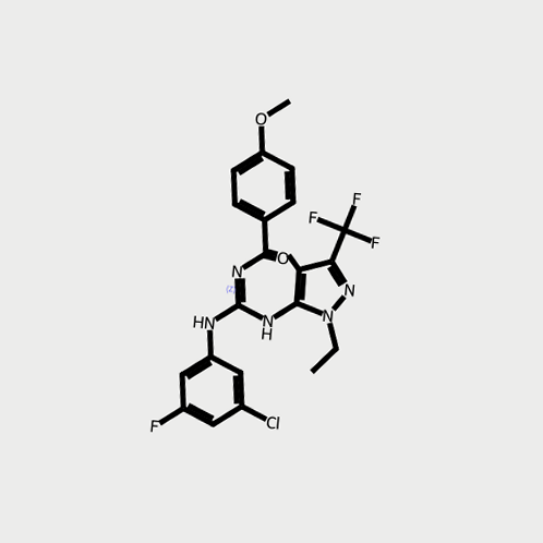 CCn1nc(C(F)(F)F)c(C)c1N/C(=N\C(=O)c1ccc(OC)cc1)Nc1cc(F)cc(Cl)c1